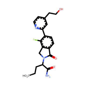 NC(=O)C(CCC(=O)O)N1Cc2c(ccc(-c3cc(CCO)ccn3)c2F)C1=O